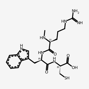 CN[C@@H](CCCNC(=N)N)C(=O)N[C@H](Cc1c[nH]c2ccccc12)C(=O)N[C@@H](CS)C(=O)O